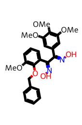 COc1cc(C(=N\O)/C(=N/O)c2cccc(OC)c2OCc2ccccc2)cc(OC)c1OC